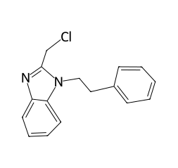 ClCc1nc2ccccc2n1CCc1ccccc1